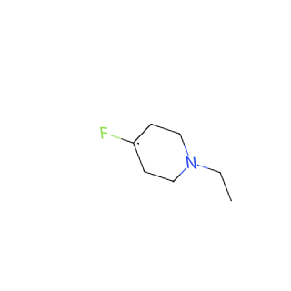 CCN1CC[C](F)CC1